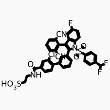 N#Cc1cccc(C#N)c1-c1c(-c2cccc(-c3ccc(C(=O)NCCS(=O)(=O)O)cc3Cl)c2)n(S(=O)(=O)c2ccc(C(F)F)cc2)c2ccc(F)cc12